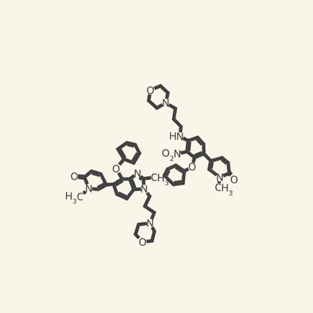 Cc1nc2c(Oc3ccccc3)c(-c3ccc(=O)n(C)c3)ccc2n1CCCN1CCOCC1.Cn1cc(-c2ccc(NCCCN3CCOCC3)c([N+](=O)[O-])c2Oc2ccccc2)ccc1=O